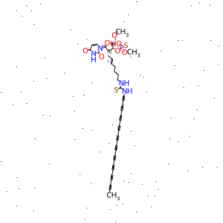 CC#CC#CC#CC#CC#CC#CC#CC#CC#CC#CNC(=S)NCCCC/C=C/C[C@H]1C(OP(O)(=S)OC)[C@@H](COC)O[C@H]1n1ccc(=O)[nH]c1=O